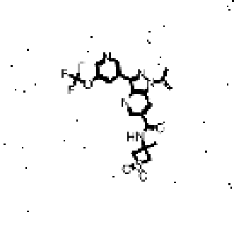 CC(C)n1nc(-c2cncc(OC(F)(F)F)c2)c2ncc(C(=O)NC3(C)CS(=O)(=O)C3)cc21